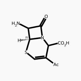 CC(=O)C1=CS[C@H]2C(N)C(=O)N2C1C(=O)O